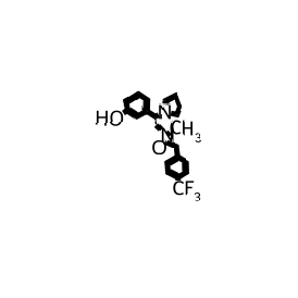 CN(C[C@H](c1cccc(O)c1)N1CCCC1)C(=O)Cc1ccc(C(F)(F)F)cc1